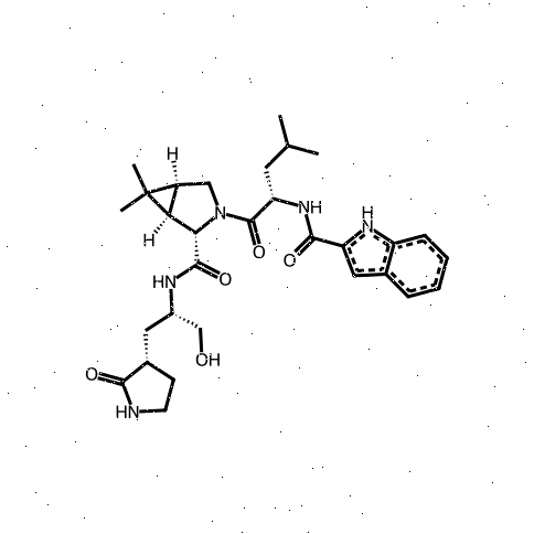 CC(C)C[C@H](NC(=O)c1cc2ccccc2[nH]1)C(=O)N1C[C@H]2[C@@H]([C@H]1C(=O)N[C@H](CO)C[C@@H]1CCNC1=O)C2(C)C